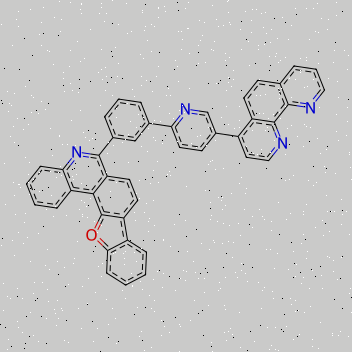 c1cc(-c2ccc(-c3ccnc4c3ccc3cccnc34)cn2)cc(-c2nc3ccccc3c3c2ccc2c4ccccc4oc23)c1